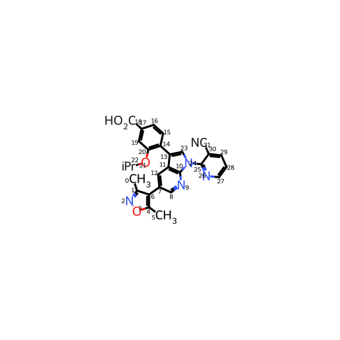 Cc1noc(C)c1-c1cnc2c(c1)c(-c1ccc(C(=O)O)cc1OC(C)C)cn2-c1ncccc1C#N